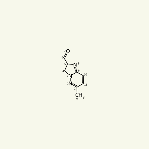 CC1=NN2CC(C=O)N=C2C=C1